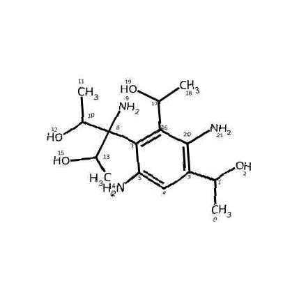 CC(O)c1cc(N)c(C(N)(C(C)O)C(C)O)c(C(C)O)c1N